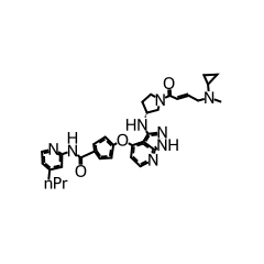 CCCc1ccnc(NC(=O)c2ccc(Oc3ccnc4[nH]nc(N[C@@H]5CCN(C(=O)C=CCN(C)C6CC6)C5)c34)cc2)c1